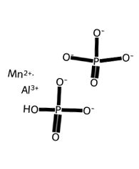 O=P([O-])([O-])O.O=P([O-])([O-])[O-].[Al+3].[Mn+2]